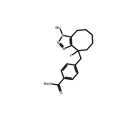 COC(=O)c1ccc(CC2(F)CCCCCc3c2nnn3C(C)(C)C)cc1